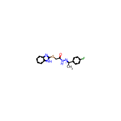 C/C(=N\NC(=O)CSc1nc2ccccc2[nH]1)c1ccc(F)cc1